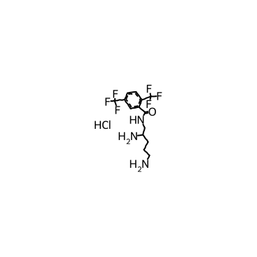 Cl.NCCCC(N)CNC(=O)c1cc(C(F)(F)F)ccc1C(F)(F)F